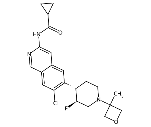 CC1(N2CC[C@@H](c3cc4cc(NC(=O)C5CC5)ncc4cc3Cl)[C@H](F)C2)COC1